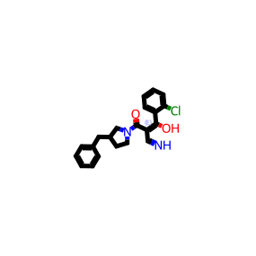 N=C/C(C(=O)N1CCC(Cc2ccccc2)C1)=C(\O)c1ccccc1Cl